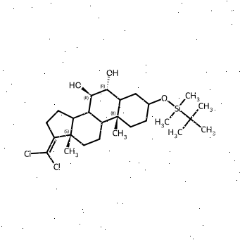 CC(C)(C)[Si](C)(C)OC1CC[C@]2(C)C3CC[C@]4(C)C(=C(Cl)Cl)CCC4C3[C@@H](O)[C@H](O)C2C1